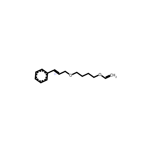 C=COCCCCOC/C=C/c1ccccc1